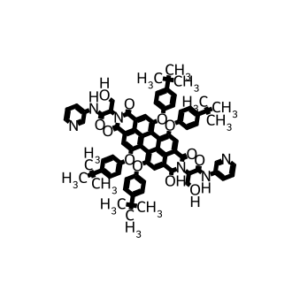 CC(C)(C)c1ccc(Oc2cc3c4c(cc(Oc5ccc(C(C)(C)C)cc5)c5c6c(Oc7ccc(C(C)(C)C)cc7)cc7c8c(cc(Oc9ccc(C(C)(C)C)cc9)c(c2c45)c86)C(=O)N(C(CO)C(=O)Nc2cccnc2)C7O)C(=O)N(C(CO)C(=O)Nc2cccnc2)C3=O)cc1